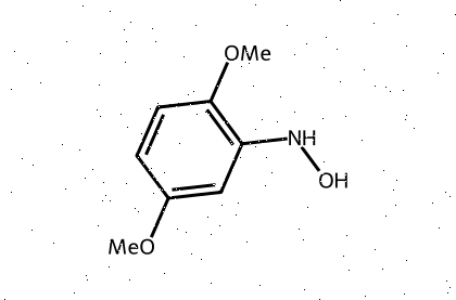 COc1ccc(OC)c(NO)c1